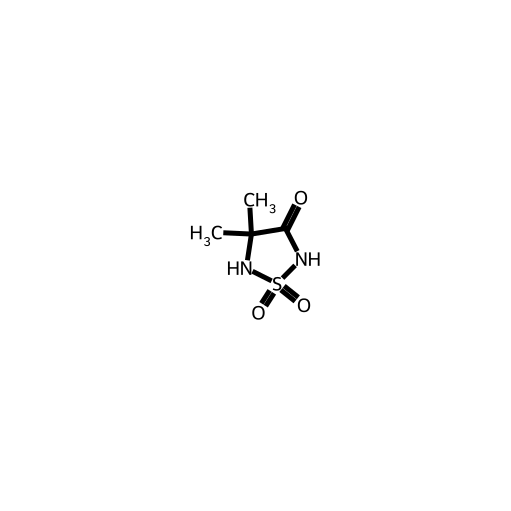 CC1(C)NS(=O)(=O)NC1=O